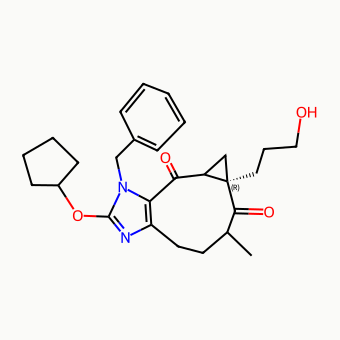 CC1CCc2nc(OC3CCCC3)n(Cc3ccccc3)c2C(=O)C2C[C@@]2(CCCO)C1=O